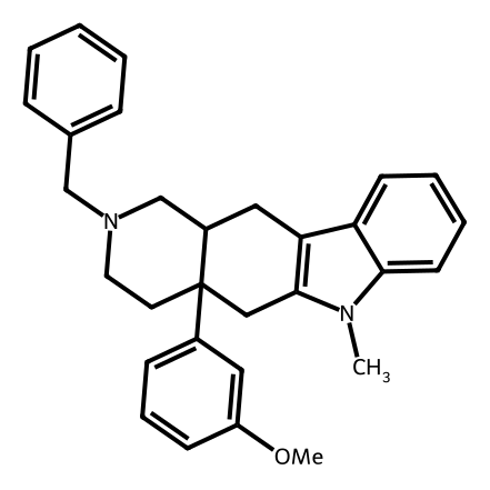 COc1cccc(C23CCN(Cc4ccccc4)CC2Cc2c(n(C)c4ccccc24)C3)c1